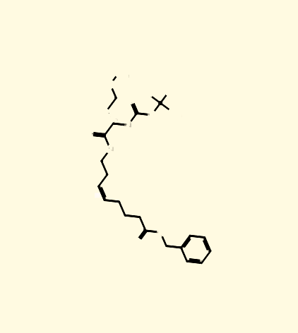 CSCC[C@H](NC(=O)OC(C)(C)C)C(=O)NCC/C=C\CCCC(=O)OCc1ccccc1